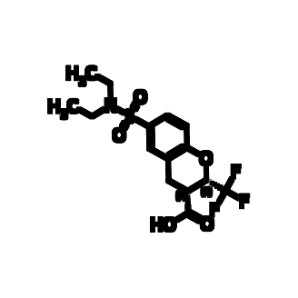 CCN(CC)S(=O)(=O)c1ccc2c(c1)C[C@@H](C(=O)O)[C@@H](C(F)(F)F)O2